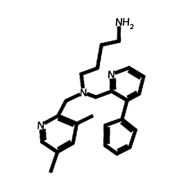 Cc1cnc(CN(CCCCN)Cc2ncccc2-c2ccccc2)c(C)c1